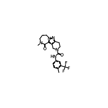 Cc1ccc(NC(=O)N2CCc3nn4c(c3C2)C(=O)N(C)CCC4)cc1C(F)(F)F